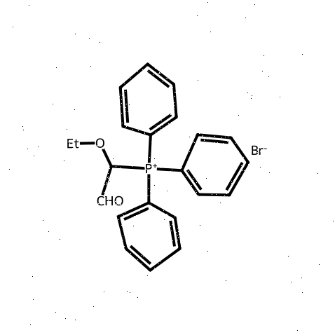 CCOC(C=O)[P+](c1ccccc1)(c1ccccc1)c1ccccc1.[Br-]